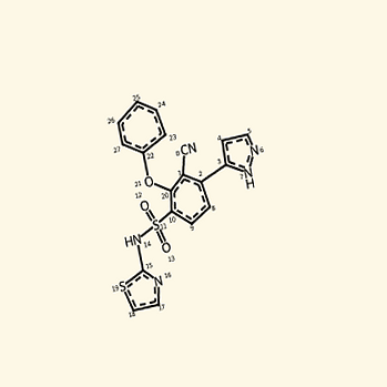 N#Cc1c(-c2ccn[nH]2)ccc(S(=O)(=O)Nc2nccs2)c1Oc1ccccc1